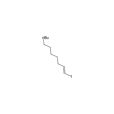 CCCCCCCCC/C=C/I